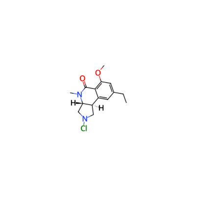 CCc1cc(OC)c2c(c1)[C@H]1CN(Cl)C[C@@H]1N(C)C2=O